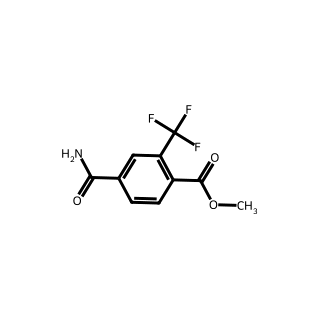 COC(=O)c1ccc(C(N)=O)cc1C(F)(F)F